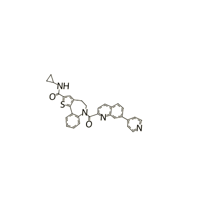 O=C(NC1CC1)c1cc2c(s1)-c1ccccc1N(C(=O)c1ccc3ccc(-c4ccncc4)cc3n1)CC2